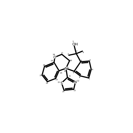 CC(C)(O)c1ccccc1[N+]1(c2nccs2)CCOc2ccccc21